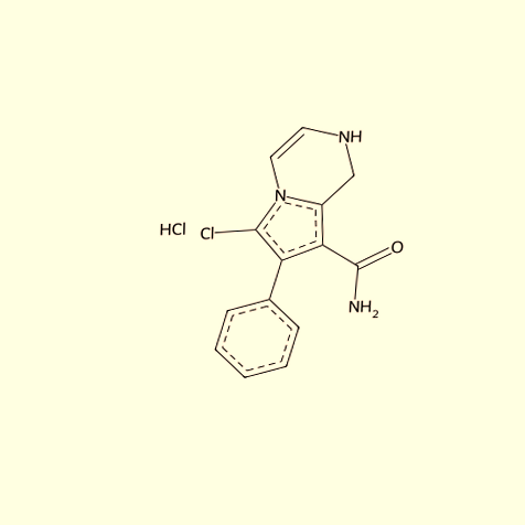 Cl.NC(=O)c1c(-c2ccccc2)c(Cl)n2c1CNC=C2